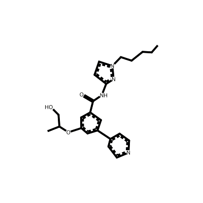 CCCCCn1ccc(NC(=O)c2cc(OC(C)CO)cc(-c3ccncc3)c2)n1